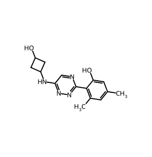 Cc1cc(C)c(-c2ncc(NC3CC(O)C3)nn2)c(O)c1